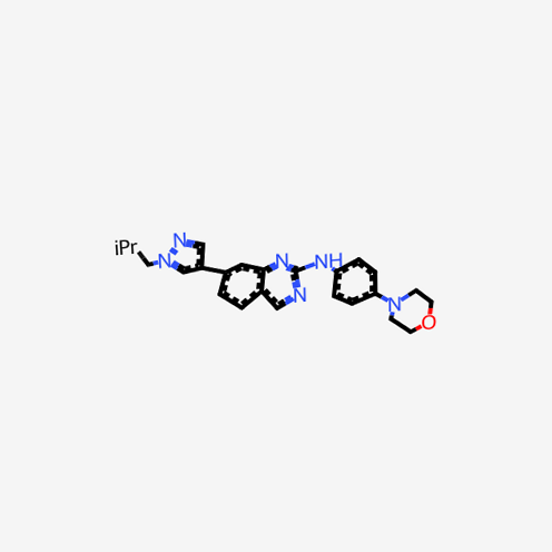 CC(C)Cn1cc(-c2ccc3cnc(Nc4ccc(N5CCOCC5)cc4)nc3c2)cn1